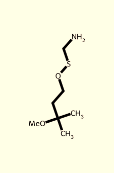 COC(C)(C)CCOSCN